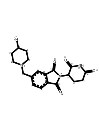 [2H]C1CCN(Cc2ccc3c(c2)C(=O)N(C2CCC(=O)NC2=O)C3=O)CC1